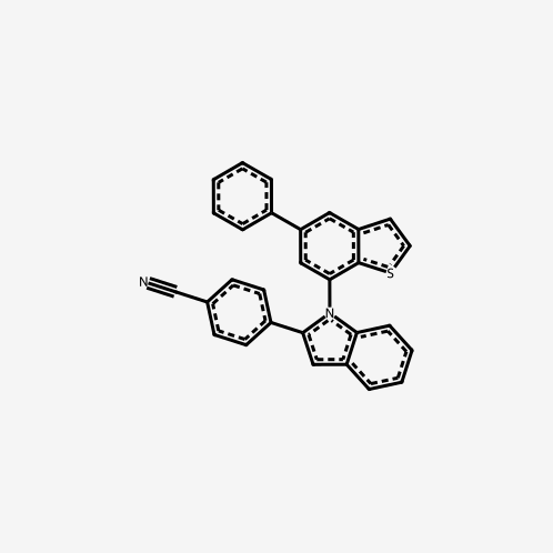 N#Cc1ccc(-c2cc3ccccc3n2-c2cc(-c3ccccc3)cc3ccsc23)cc1